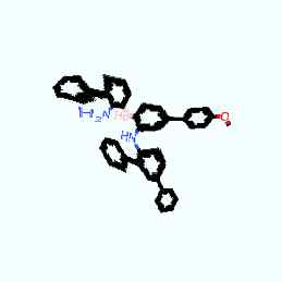 COc1ccc(-c2ccc(Bc3cccc(-c4ccccc4)c3N)c(Nc3ccc(-c4ccccc4)cc3-c3ccccc3)c2)cc1